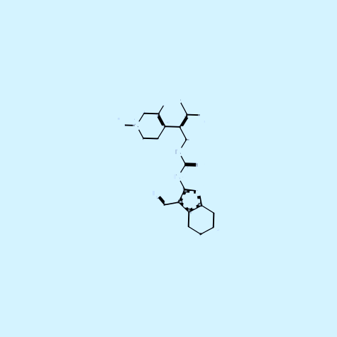 B=Cc1c(NC(=O)NC/C(C2=C(CCC)CN(CC)CC2)=C(/C)Br)sc2c1CCCC2